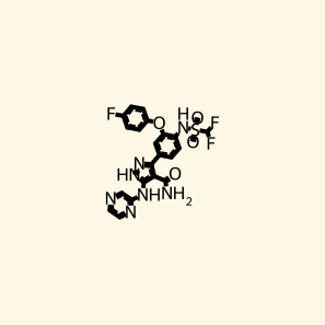 NC(=O)c1c(-c2ccc(NS(=O)(=O)C(F)F)c(Oc3ccc(F)cc3)c2)n[nH]c1Nc1cnccn1